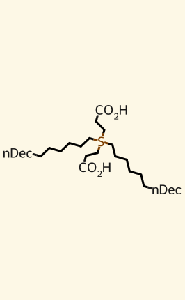 CCCCCCCCCCCCCCCCS(CCCCCCCCCCCCCCCC)(CCC(=O)O)CCC(=O)O